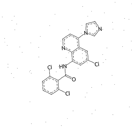 O=C(Nc1cc(Cl)cc2c(-n3ccnc3)ccnc12)c1c(Cl)cccc1Cl